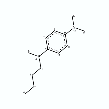 CCCCP(C)c1ccc(N(C)C)cc1